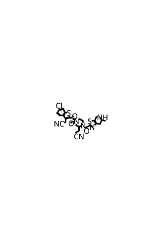 CC1Cc2nc(C(=O)N3CCN(S(=O)(=O)c4sc5cc(Cl)ccc5c4CC#N)CC3CCC#N)sc2CN1